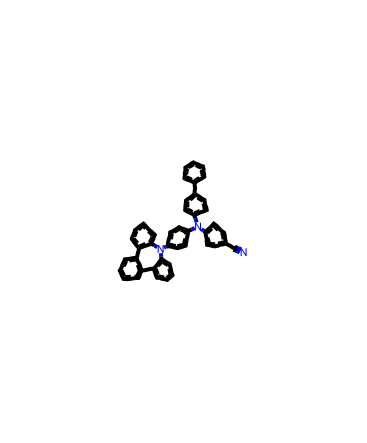 N#Cc1ccc(N(c2ccc(-c3ccccc3)cc2)c2ccc(N3c4ccccc4-c4ccccc4-c4ccccc43)cc2)cc1